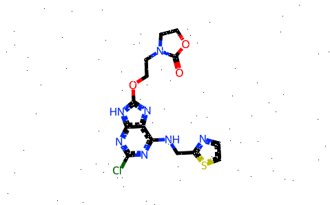 O=C1OCCN1CCOc1nc2c(NCc3nccs3)nc(Cl)nc2[nH]1